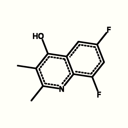 Cc1nc2c(F)cc(F)cc2c(O)c1C